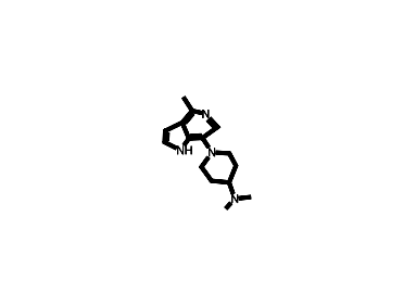 Cc1ncc(N2CCC(N(C)C)CC2)c2[nH]ccc12